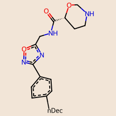 CCCCCCCCCCc1ccc(-c2noc(CNC(=O)[C@H]3CCNCO3)n2)cc1